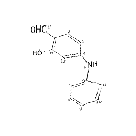 O=Cc1ccc(Nc2ccccc2)cc1O